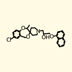 CC1Oc2ccc(Cl)cc2COC12CCN(CC(O)COc1cccc3ccccc13)CC2